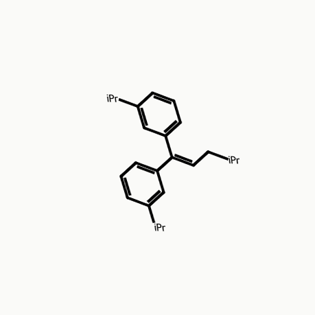 CC(C)CC=C(c1cccc(C(C)C)c1)c1cccc(C(C)C)c1